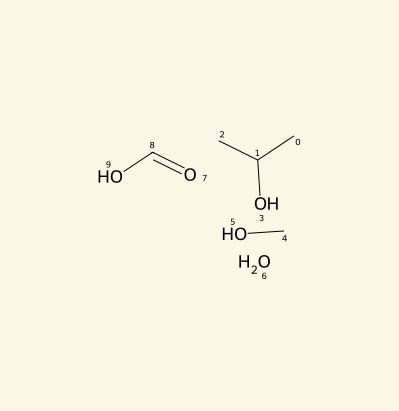 CC(C)O.CO.O.O=CO